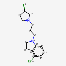 FC1CCN(CCCN2CCc3c(Br)cccc32)C1